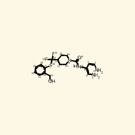 N/C=C\C(=C/N)NC(=O)N1CCC(C(F)(F)Sc2ccccc2CO)CC1